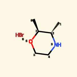 Br.C[C@@H]1NCCO[C@H]1C